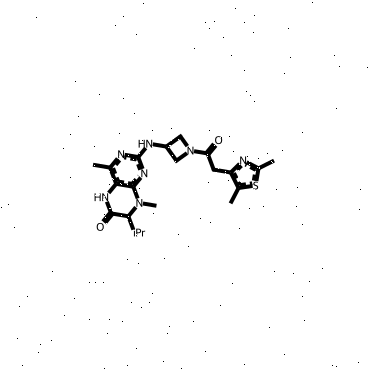 Cc1nc(CC(=O)N2CC(Nc3nc(C)c4c(n3)N(C)C(C(C)C)C(=O)N4)C2)c(C)s1